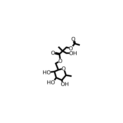 CC(=O)OCC(C)(CO)C(=O)OCC1OC(C)C(O)C(O)C1O